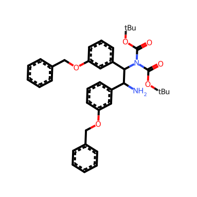 CC(C)(C)OC(=O)N(C(=O)OC(C)(C)C)C(c1cccc(OCc2ccccc2)c1)C(N)c1cccc(OCc2ccccc2)c1